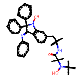 CC(C)(Cc1ccc2c(c1)N(O)C(c1ccccc1)(c1ccccc1)/C2=N/c1ccccc1)NC(=O)C(C)(C)N(O)C(C)(C)C